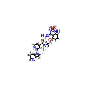 CC(C)(COc1cccc2c1C(N)=NS(=O)(=O)N2)NC(=O)c1ccnc(-n2ccc3ncccc32)c1